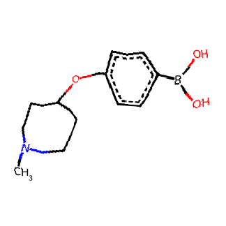 CN1CCC(Oc2ccc(B(O)O)cc2)CC1